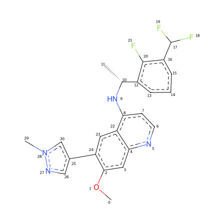 COc1cc2nccc(N[C@H](C)c3cccc(C(F)F)c3F)c2cc1-c1cnn(C)c1